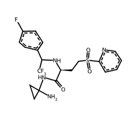 NC1(NC(=O)[C@H](CCS(=O)(=O)c2ccccn2)NC(c2ccc(F)cc2)C(F)(F)F)CC1